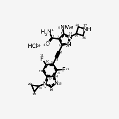 CNc1c(C(N)=O)c(C#Cc2c(F)cc3c(ncn3C3CC3)c2F)nn1C1CNC1.Cl